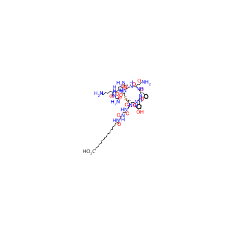 NCCCCC(NC(=O)C1CCCN1C(=O)C1CSSCC(NC(=O)CNC(=O)CNC(=O)CNC(=O)CCCCCCCCCCCCCCCCC(=O)O)C(=O)NC(Cc2ccc(O)cc2)C(=O)NC(Cc2ccccc2)C(=O)NC(CCC(N)=O)C(=O)NC(CC(N)=O)C(=O)N1)C(=O)NCC(N)=O